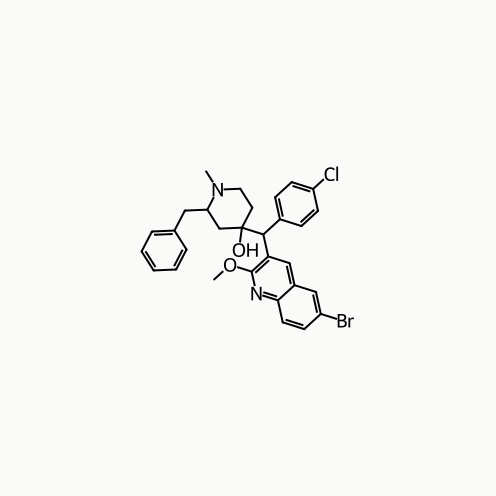 COc1nc2ccc(Br)cc2cc1C(c1ccc(Cl)cc1)C1(O)CCN(C)C(Cc2ccccc2)C1